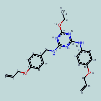 C=CCOc1ccc(CNc2nc(Nc3ccc(OCC=C)cc3)nc(OCC(F)(F)F)n2)cc1